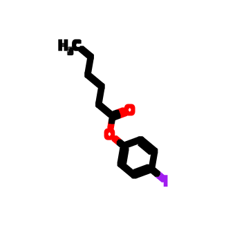 CCCCCC(=O)Oc1ccc(I)cc1